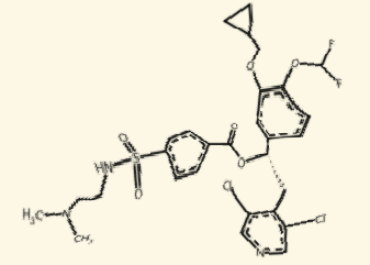 CN(C)CCNS(=O)(=O)c1ccc(C(=O)O[C@@H](Cc2c(Cl)cncc2Cl)c2ccc(OC(F)F)c(OCC3CC3)c2)cc1